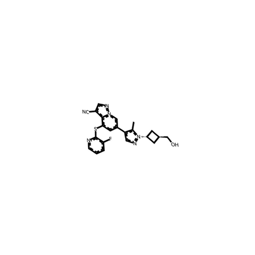 Cc1c(-c2cc(Sc3ncccc3F)c3c(C#N)cnn3c2)cnn1[C@H]1C[C@H](CO)C1